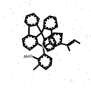 C/C=C(\C)c1cccc(N(c2cccc(C)c2OC)c2cccc3c2C2(c4ccccc4-c4ccccc42)c2ccccc2-3)c1